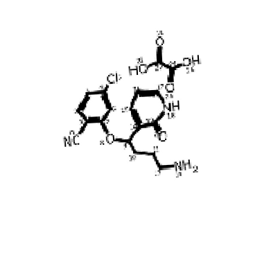 N#Cc1ccc(Cl)cc1OC(CCCN)c1ccc[nH]c1=O.O=C(O)C(=O)O